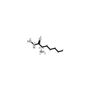 CCCCC[C@H](N)C(=O)NS